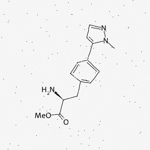 COC(=O)[C@@H](N)Cc1ccc(-c2ccnn2C)cc1